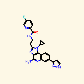 Nc1nc2cc(-c3cc[nH]n3)ccc2c2c1nc(CCNC(=O)c1ccc(F)cn1)n2C1CC1